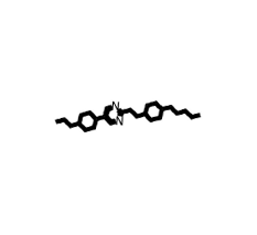 CCCCCC1CCC(CCc2ncc(C3CCC(CCC)CC3)cn2)CC1